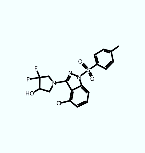 Cc1ccc(S(=O)(=O)n2nc(N3CC(O)C(F)(F)C3)c3c(Cl)cccc32)cc1